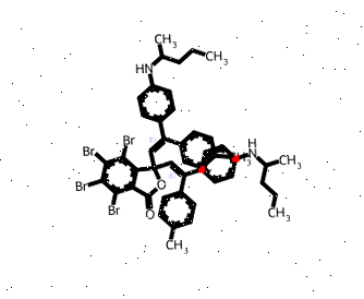 CCCC(C)Nc1ccc(/C(=C/C2(/C=C(\c3ccc(C)cc3)c3ccc(NC(C)CCC)cc3)OC(=O)c3c(Br)c(Br)c(Br)c(Br)c32)c2ccc(C)cc2)cc1